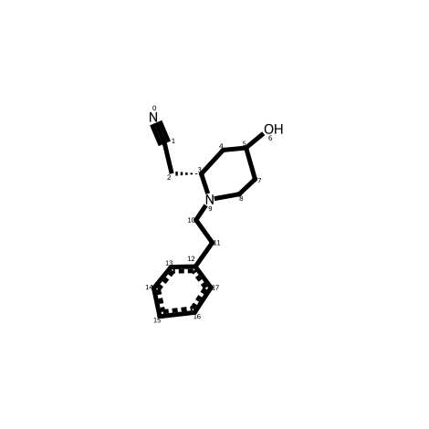 N#CC[C@@H]1CC(O)CCN1CCc1ccccc1